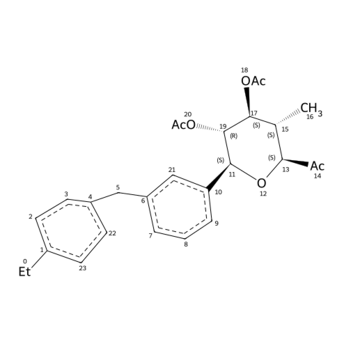 CCc1ccc(Cc2cccc([C@@H]3O[C@H](C(C)=O)[C@@H](C)[C@H](OC(C)=O)[C@H]3OC(C)=O)c2)cc1